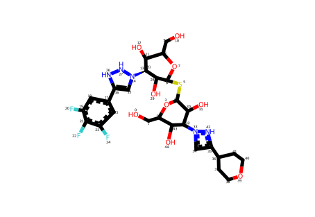 OCC1OC(SC2OC(CO)C(O)[C@H](N3C=C(c4cc(F)c(F)c(F)c4)NN3)C2O)C(O)C(n2cc(C3CCOCC3)[nH]2)C1O